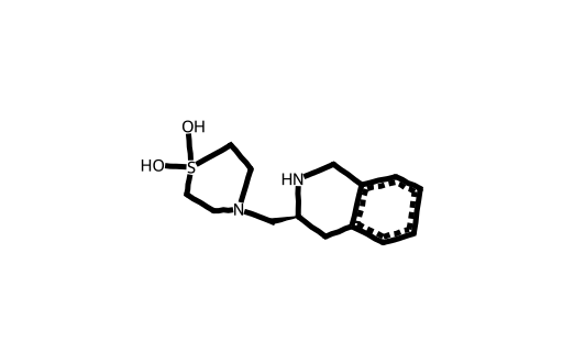 OS1(O)CCN(C[C@@H]2Cc3ccccc3CN2)CC1